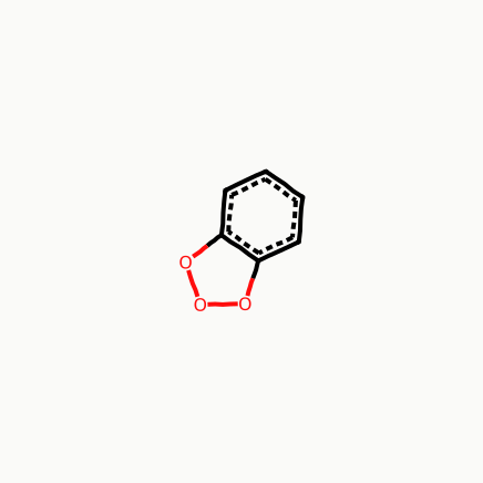 c1ccc2c(c1)OOO2